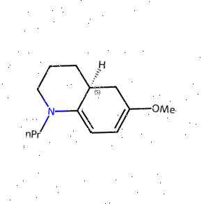 CCCN1CCC[C@H]2CC(OC)=CC=C21